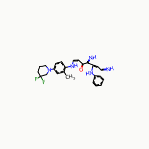 Cc1cc(N2CCCC(F)(F)C2)ccc1N/C=C\C(=O)C(=N)/C(=C/C=N)Nc1ccccc1